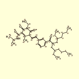 CCCCC(CC)CN(CC(CC)CCCC)C(=O)c1cccc(/N=N/C2C(=O)N(CO)C(=O)C(C(=O)NC(C)C)=C2C)c1